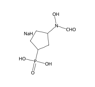 O=CN(O)C1CCC(P(=O)(O)O)C1.[NaH]